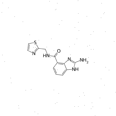 Nc1nc2c(C(=O)NCc3nccs3)cccc2[nH]1